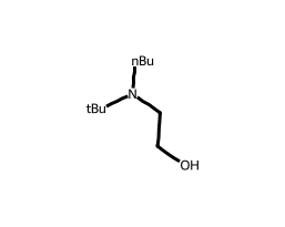 CCCCN(CCO)C(C)(C)C